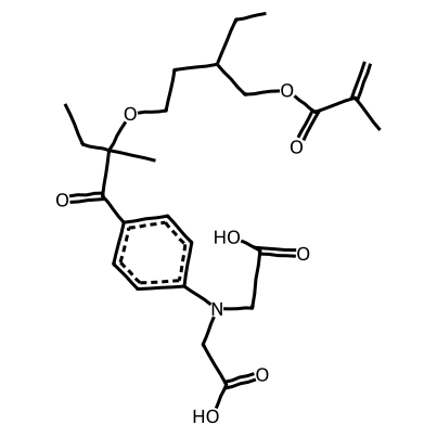 C=C(C)C(=O)OCC(CC)CCOC(C)(CC)C(=O)c1ccc(N(CC(=O)O)CC(=O)O)cc1